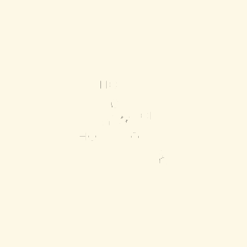 OCCOCC(COCCO)(COCCO)COCCOCCCCSO